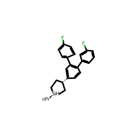 CCC[Si@H]1CC[C@H](c2ccc(-c3cccc(F)c3)c(-c3ccc(F)cc3)c2)CC1